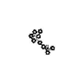 C1=CCC(C2=CCC(N(c3ccc(-c4ccc5c(c4)OC4C5c5ccccc5N4c4ccccc4)cc3)c3cccc4c3oc3c(-c5ccccc5)cccc34)C=C2)C=C1